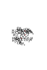 CC1C(CC(C2CCN(C)C(C)(C)C2C)(C2CCN(C)C(C)(C)C2C)C(C(=O)O)(C2CCN(C)C(C)(C)C2C)C(C(=O)O)(C(=O)O)C(=O)O)CCN(C)C1(C)C